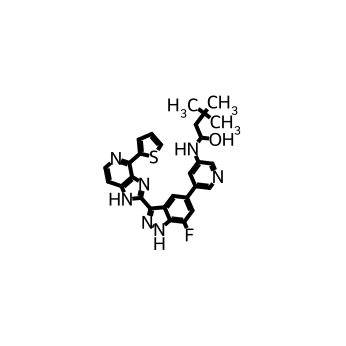 CC(C)(C)CC(O)Nc1cncc(-c2cc(F)c3[nH]nc(-c4nc5c(-c6cccs6)nccc5[nH]4)c3c2)c1